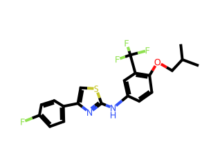 CC(C)COc1ccc(Nc2nc(-c3ccc(F)cc3)cs2)cc1C(F)(F)F